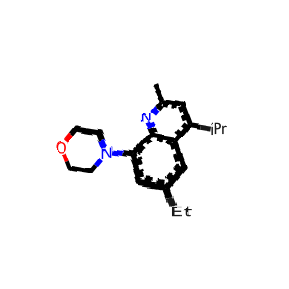 CCc1cc(N2CCOCC2)c2nc(C)cc(C(C)C)c2c1